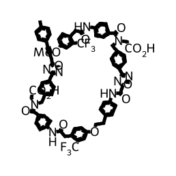 COc1ccc(CC(=O)Nc2ccc(C(=O)N(CC(=O)O)Cc3ccc(-c4noc(C(=O)Nc5ccc(CCOc6ccc(CC(=O)Nc7ccc(C(=O)N(CC(=O)O)Cc8ccc(-c9noc(C#Cc%10ccc(C)cc%10)n9)cc8)cc7)c(C(F)(F)F)c6)cc5)n4)cc3)cc2)c(C(F)(F)F)c1